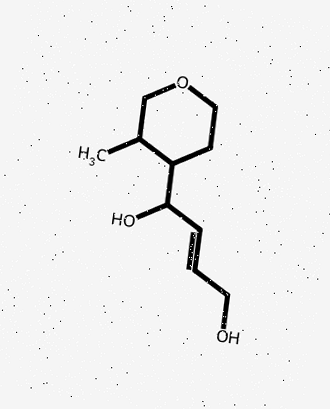 CC1COCCC1C(O)C=CCO